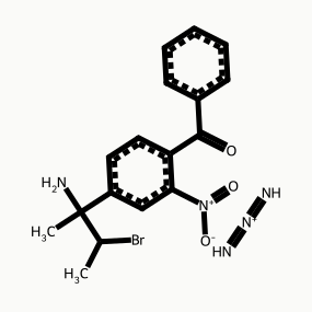 CC(Br)C(C)(N)c1ccc(C(=O)c2ccccc2)c([N+](=O)[O-])c1.N=[N+]=N